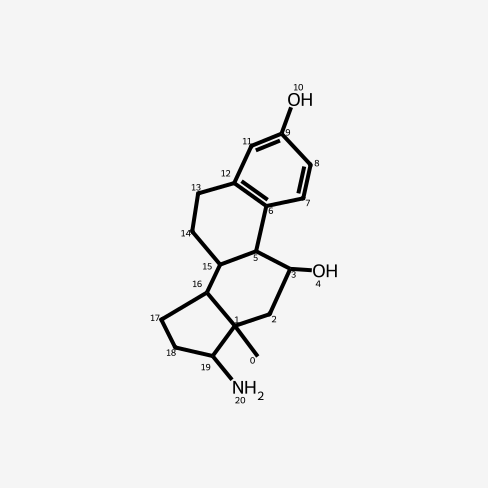 CC12CC(O)C3c4ccc(O)cc4CCC3C1CCC2N